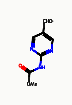 COC(=O)Nc1ncc([C]=O)cn1